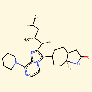 CCC(c1nc2c(N3CCCCC3)nccn2c1C1CCC2CC(=O)N[C@H]2CC1)[C@H](C)C[C@@H](F)CC